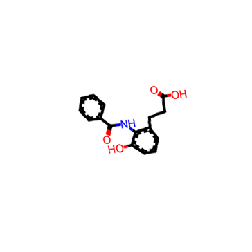 O=C(O)CCc1cccc(O)c1NC(=O)c1ccccc1